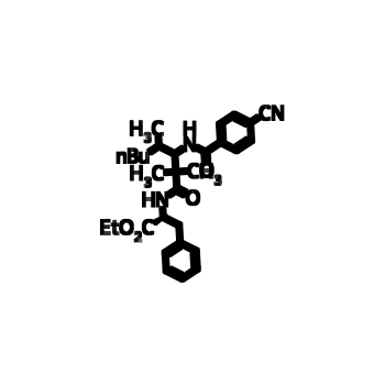 CCCCC(C)C(NC(=O)c1ccc(C#N)cc1)C(C)(C)C(=O)N[C@@H](Cc1ccccc1)C(=O)OCC